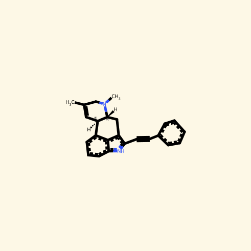 CC1=C[C@@H]2c3cccc4[nH]c(C#Cc5ccccc5)c(c34)C[C@H]2N(C)C1